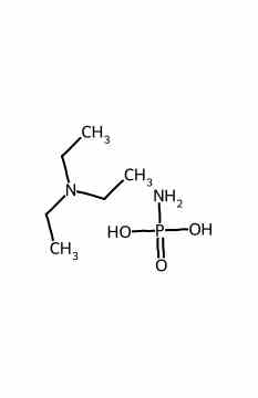 CCN(CC)CC.NP(=O)(O)O